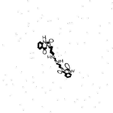 O=c1[nH]c2ccccc2c(=O)n1CCCNCCNCCCn1c(=O)[nH]c2ccccc2c1=O